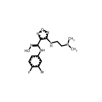 CN(C)CCNc1nonc1/C(=N/O)Nc1ccc(F)c(Br)c1